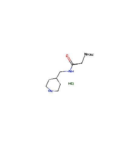 CC(=O)NCC(=O)NCC1CCNCC1.Cl